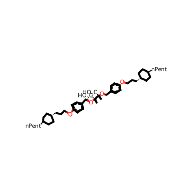 CCCCC[C@H]1CC[C@H](CCCOc2ccc(CO[C@@](C)(C(=O)O)[C@@](C)(OCc3ccc(OCCC[C@H]4CC[C@H](CCCCC)CC4)cc3)C(=O)O)cc2)CC1